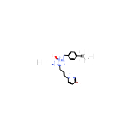 CCn1c(CCCc2ccc(Br)cn2)nn(Cc2ccc(C(C)(C)C)cc2)c1=O